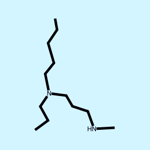 CCCCCN(CCC)CCCNC